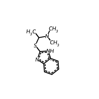 CC(Sc1nc2ccccc2[nH]1)N(C)C